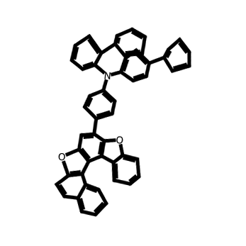 c1ccc(-c2ccc(N(c3ccc(-c4cc5oc6ccc7ccccc7c6c5c5c4oc4ccccc45)cc3)c3ccccc3-c3ccccc3)cc2)cc1